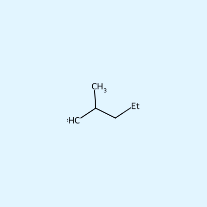 [CH]C(C)CCC